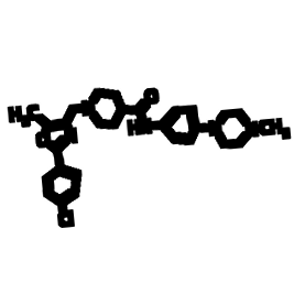 Cc1oc(-c2ccc(Cl)cc2)nc1CN1CCC(C(=O)Nc2ccc(N3CCN(C)CC3)cc2)CC1